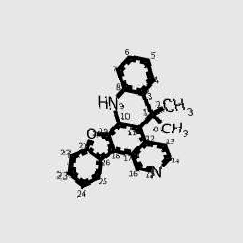 CC1(C)c2ccccc2Nc2c1c1ccncc1c1c2oc2ccccc21